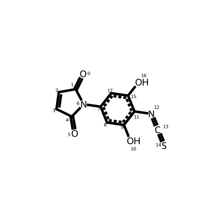 O=C1C=CC(=O)N1c1cc(O)c(N=C=S)c(O)c1